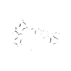 COc1ccccc1N1CCN(CC(=O)NCc2cccc3c(=O)c(C)c(-c4ccccc4)oc23)CC1.Cl